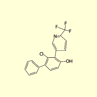 Oc1ccc(-c2ccccc2)c(Cl)c1-c1ccc(C(F)(F)F)nc1